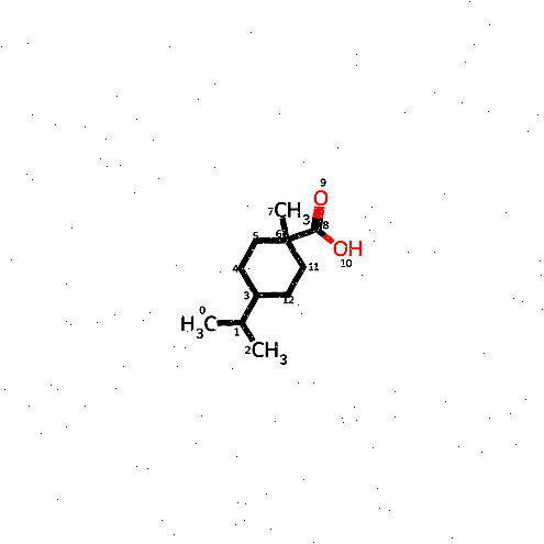 CC(C)C1CCC(C)(C(=O)O)CC1